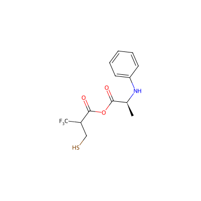 C[C@H](Nc1ccccc1)C(=O)OC(=O)C(CS)C(F)(F)F